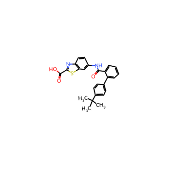 CC(C)(C)c1ccc(-c2ccccc2C(=O)Nc2ccc3nc(C(=O)O)sc3c2)cc1